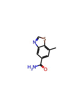 Cc1cc(C(N)=O)cc2ncsc12